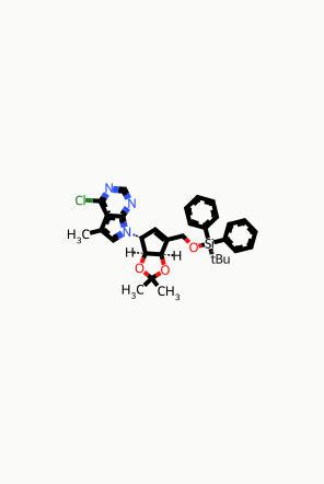 Cc1cn([C@@H]2C=C(CO[Si](c3ccccc3)(c3ccccc3)C(C)(C)C)[C@H]3OC(C)(C)O[C@H]32)c2ncnc(Cl)c12